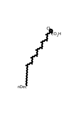 CCCCCCCCCCCCCCCCCCCCCCCCCC(C)=CCCC(C)=CCCC(C)=CCCC(C)=CCCC(C)=CCCC(C)=CCCC(C)=CCCC(C)=CCCC(C)=CCc1cc(Cl)ccc1C(=O)O